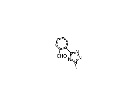 Cn1nnc(-c2ccccc2C=O)n1